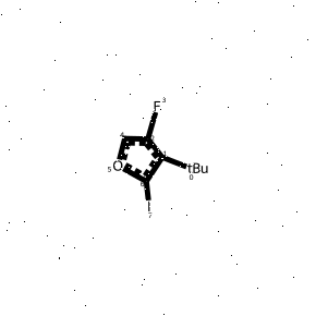 CC(C)(C)c1c(F)coc1I